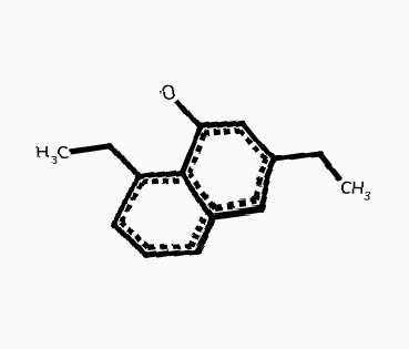 CCc1cc([O])c2c(CC)cccc2c1